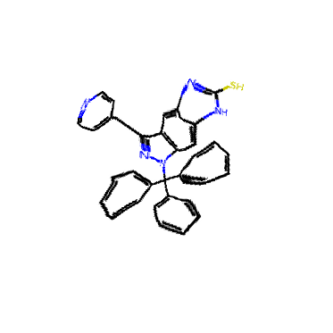 Sc1nc2cc3c(-c4ccncc4)nn(C(c4ccccc4)(c4ccccc4)c4ccccc4)c3cc2[nH]1